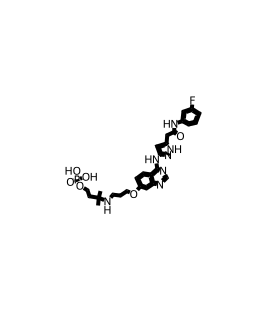 CC(C)(CCOP(=O)(O)O)NCCCOc1ccc2c(Nc3cc(CC(=O)Nc4cccc(F)c4)[nH]n3)ncnc2c1